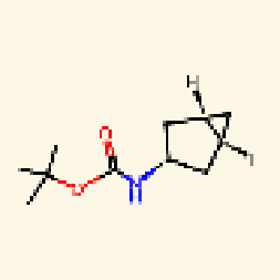 CC(C)(C)OC(=O)N[C@H]1C[C@@H]2C[C@@H]2C1